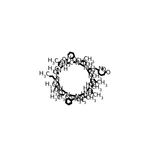 CCCCN1CC(=O)N(C)[C@@H](CC(C)C)C(=O)N[C@H](C(=O)N2CCCCC2)CC(=O)N(C)[C@@H](CC(C)C)C(=O)NC(COCC2=NOC(=O)CCC2)C(=O)N(C)[C@@H](CC(C)C)C(=O)N(C)[C@@H](CC(C)C)C(=O)N[C@@H](C(C)C)C(=O)N(C)[C@@H](Cc2ccccc2)C(=O)N(C)[C@@H](CC(C)C)C(=O)N[C@@H](C(C)O)C1=O